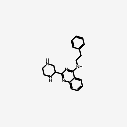 c1ccc(CCNc2nc(C3CNCCN3)nc3ccccc23)cc1